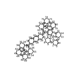 c1ccc(C2(c3ccccc3)c3ccccc3-c3cc4c(cc32)N(c2ccc3cc5cc(N6c7ccccc7[Si](c7ccccc7)(c7ccccc7)c7ccccc76)ccc5cc3c2)c2ccccc2[Si]4(c2ccccc2)c2ccccc2)cc1